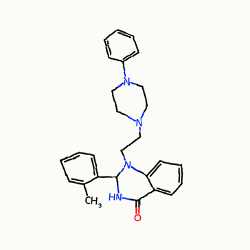 Cc1ccccc1C1NC(=O)c2ccccc2N1CCN1CCN(c2ccccc2)CC1